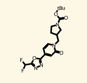 CC(C)(C)OC(=O)N1CCC(Cn2ccc(-c3nnc(C(F)F)o3)cc2=O)C1